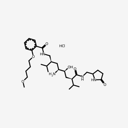 COCCCCOc1ccccc1C(=O)NC[C@@H](C[C@H](N)[C@@H](O)C[C@@H](C(=O)NCC1CCC(=O)N1)C(C)C)C(C)C.Cl